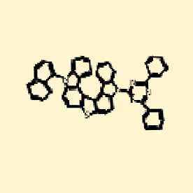 c1ccc(-c2nc(-c3ccccc3)nc(-n3c4ccccc4c4c5c(ccc43)sc3ccc4c(c6ccccc6n4-c4cccc6ccccc46)c35)n2)cc1